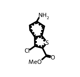 COC(=O)c1sc2cc(N)ccc2c1Cl